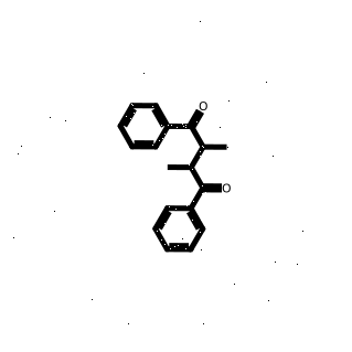 CC(C(=O)c1ccccc1)C(C)C(=O)c1ccccc1